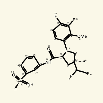 COc1c(N2C[C@@](C)(C(F)F)C[C@H]2C(=O)Nc2ccnc([S@](C)(=N)=O)c2)ccc(F)c1F